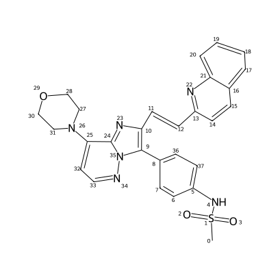 CS(=O)(=O)Nc1ccc(-c2c(C=Cc3ccc4ccccc4n3)nc3c(N4CCOCC4)ccnn23)cc1